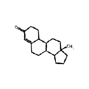 CC12CCCC1C1CCC3=CC(=O)CCC3C1CC2